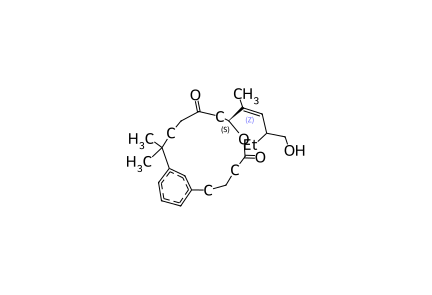 CCC(/C=C(/C)[C@@H]1CC(=O)CCC(C)(C)c2cccc(c2)CCCC(=O)O1)CO